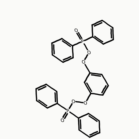 O=P(OOc1cccc(OOP(=O)(c2ccccc2)c2ccccc2)c1)(c1ccccc1)c1ccccc1